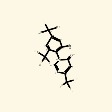 O=c1cc(C(F)(F)F)ncn1-c1c(Br)cc(C(F)(F)F)cc1C(F)(F)F